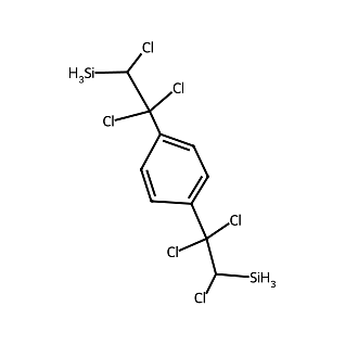 [SiH3]C(Cl)C(Cl)(Cl)c1ccc(C(Cl)(Cl)C([SiH3])Cl)cc1